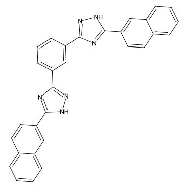 c1cc(-c2n[nH]c(-c3ccc4ccccc4c3)n2)cc(-c2n[nH]c(-c3ccc4ccccc4c3)n2)c1